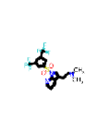 CN(C)CCc1cn(S(=O)(=O)c2cc(C(F)(F)F)cc(C(F)(F)F)c2)c2ncccc12